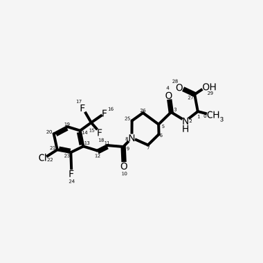 CC(NC(=O)C1CCN(C(=O)/C=C/c2c(C(F)(F)F)ccc(Cl)c2F)CC1)C(=O)O